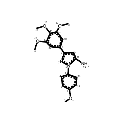 COc1ccc(-n2nc(-c3cc(OC)c(OC)c(OC)c3)cc2N)cc1